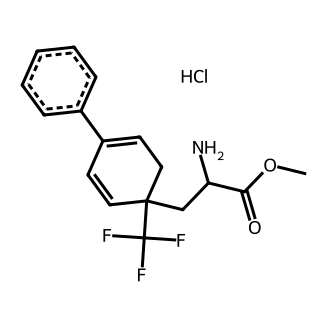 COC(=O)C(N)CC1(C(F)(F)F)C=CC(c2ccccc2)=CC1.Cl